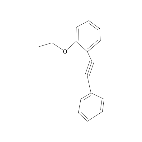 ICOc1ccccc1C#Cc1ccccc1